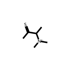 CC(=S)C(C)[N+](C)C